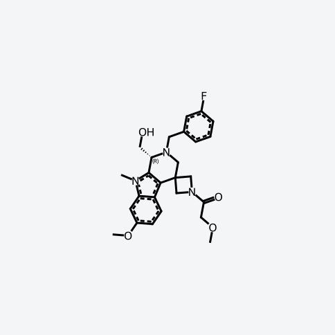 COCC(=O)N1CC2(C1)CN(Cc1cccc(F)c1)[C@@H](CO)c1c2c2ccc(OC)cc2n1C